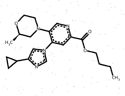 CCCCOC(=O)c1cc(-n2cnc(C3CC3)c2)c(N2CCO[C@H](C)C2)cn1